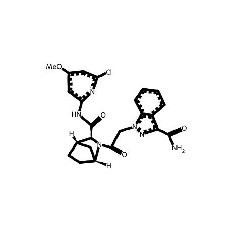 COc1cc(Cl)nc(NC(=O)[C@@H]2[C@H]3CC[C@H](C3)N2C(=O)Cn2nc(C(N)=O)c3ccccc32)c1